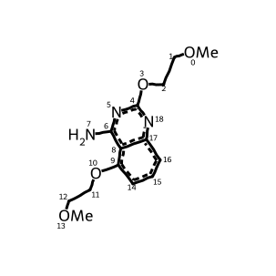 COCCOc1nc(N)c2c(OCCOC)cccc2n1